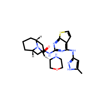 Cc1cc(Nc2nc(N[C@@H]3C[C@H]4CCC[C@@H](C3)N4C(=O)C[C@H]3COCCN3)nc3sccc23)n[nH]1